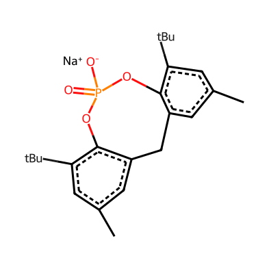 Cc1cc2c(c(C(C)(C)C)c1)OP(=O)([O-])Oc1c(cc(C)cc1C(C)(C)C)C2.[Na+]